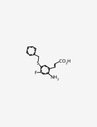 Nc1cc(F)c(SCc2ccccc2)cc1C=CC(=O)O